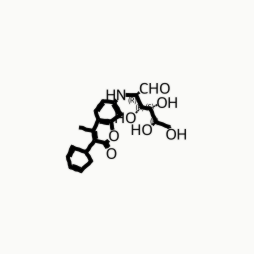 Cc1c(C2C=CC=CC2)c(=O)oc2cc(N[C@@H](C=O)[C@@H](O)[C@H](O)[C@H](O)CO)ccc12